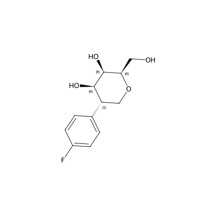 OC[C@H]1OC[C@H](c2ccc(F)cc2)[C@@H](O)[C@H]1O